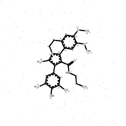 CCCNC(=O)c1c(-c2cc(C)c(O)c(C)c2)c(C)n2c1-c1cc(OC)c(OC)cc1CC2